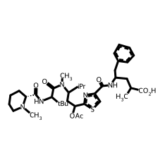 CC(=O)OC(CC(C(C)C)N(C)C(=O)C(NC(=O)[C@H]1CCCCN1C)C(C)(C)C)c1nc(C(=O)NC(Cc2ccccc2)CC(C)C(=O)O)cs1